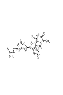 CC(=O)SCCOP(=O)(OC[C@H]1O[C@@H](n2cc(C)c(=O)[nH]c2=O)[C@@]2(C)OC(=O)OC12)N(C)C